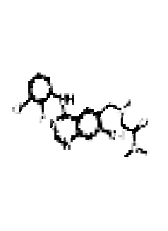 CN(CC(=O)N(C)C)Cc1cc2c(Nc3cccc(Cl)c3F)ncnc2cc1O